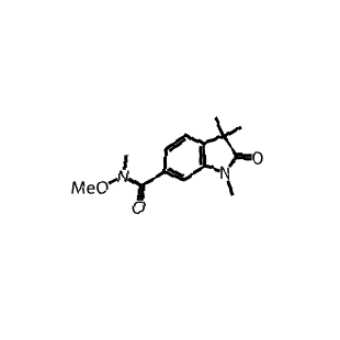 CON(C)C(=O)c1ccc2c(c1)N(C)C(=O)C2(C)C